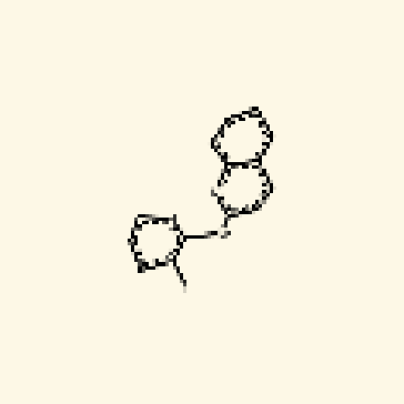 Fc1cccnc1Nc1ccc2ccccc2n1